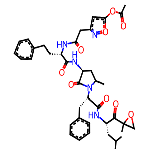 CC(=O)Oc1cc(CC(=O)N[C@@H](CCc2ccccc2)C(=O)N[C@H]2CC(C)N([C@@H](Cc3ccccc3)C(=O)N[C@@H](CC(C)C)C(=O)C3(C)CO3)C2=O)no1